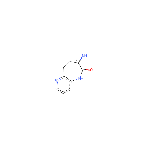 N[C@@H]1CCc2ncccc2NC1=O